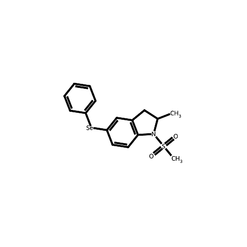 CC1Cc2cc([Se]c3ccccc3)ccc2N1S(C)(=O)=O